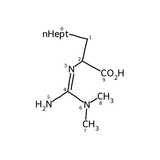 CCCCCCCCC(N=C(N)N(C)C)C(=O)O